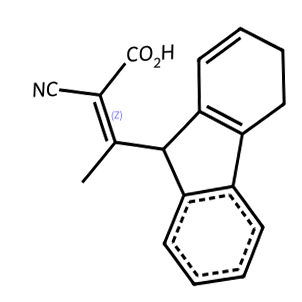 C/C(=C(\C#N)C(=O)O)C1C2=C(CCC=C2)c2ccccc21